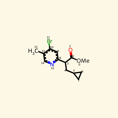 COC(=O)C(CC1CC1)c1cc(Br)c(C)cn1